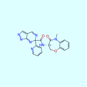 CN1C(=O)[C@@H](NC(=O)C2(c3ccccn3)N=CC3=CN=NC3=N2)COc2ccccc21